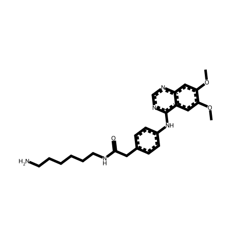 COc1cc2ncnc(Nc3ccc(CC(=O)NCCCCCCN)cc3)c2cc1OC